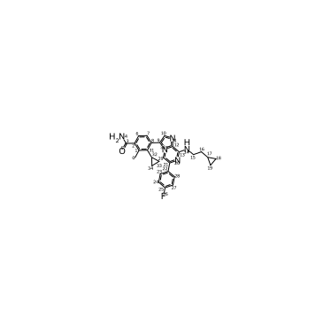 Cc1c(C(N)=O)ccc(-c2cnc3c(NCCC4CC4)nc(-c4ccc(F)cc4)cn23)c1C1CC1